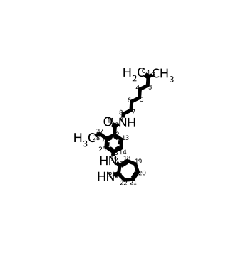 C=C(C)CCCCCCNC(=O)c1ccc(NC2=CCC=CCC2=N)cc1CC